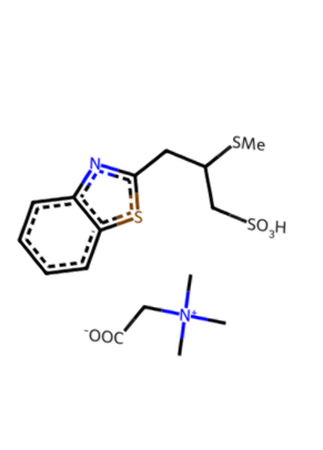 CSC(Cc1nc2ccccc2s1)CS(=O)(=O)O.C[N+](C)(C)CC(=O)[O-]